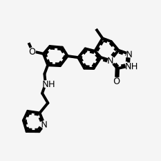 COc1ccc(-c2ccc3c(c2)c(C)cc2n[nH]c(=O)n23)cc1CNCCc1ccccn1